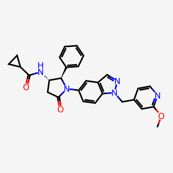 COc1cc(Cn2ncc3cc(N4C(=O)C[C@H](NC(=O)C5CC5)[C@H]4c4ccccc4)ccc32)ccn1